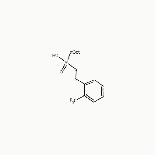 CCCCCCCCP(=O)(O)SSc1ccccc1C(F)(F)F